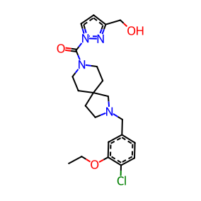 CCOc1cc(CN2CCC3(CCN(C(=O)n4ccc(CO)n4)CC3)C2)ccc1Cl